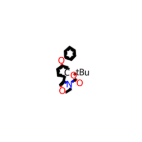 CC(C)(C)OC(=O)N1CCOC=C1c1ccc(Oc2ccccc2)cc1